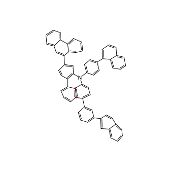 c1ccc(-c2ccc(-c3cc4ccccc4c4ccccc34)cc2N(c2ccc(-c3cccc(-c4ccc5ccccc5c4)c3)cc2)c2ccc(-c3cccc4ccccc34)cc2)cc1